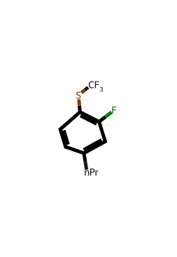 C[CH]Cc1ccc(SC(F)(F)F)c(F)c1